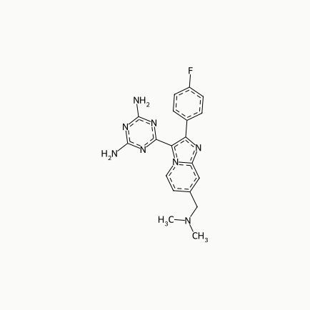 CN(C)Cc1ccn2c(-c3nc(N)nc(N)n3)c(-c3ccc(F)cc3)nc2c1